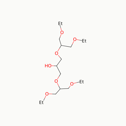 CCOCC(COCC)OCC(O)COC(COCC)COCC